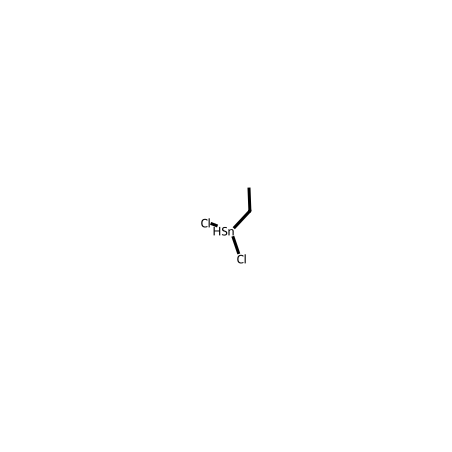 C[CH2][SnH]([Cl])[Cl]